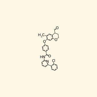 Cc1cc2c(cc1Oc1ccc(C(=O)Nc3cccc(-c4ccccc4Cl)n3)cc1)OCCC2C=O